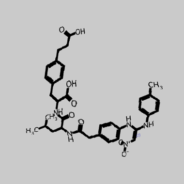 Cc1ccc(N/C(=C/[N+](=O)[O-])Nc2ccc(CC(=O)NC(CC(C)C)C(=O)NC(Cc3ccc(CCC(=O)O)cc3)C(=O)O)cc2)cc1